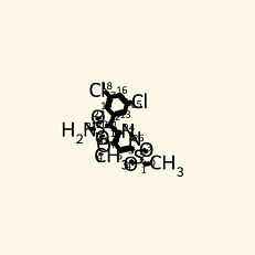 CCS(=O)(=O)c1cc(OC)c(C(c2cc(Cl)cc(Cl)c2)S(N)(=O)=O)nn1